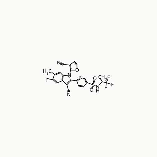 Cc1cc2c(cc1F)c(C#N)c(-c1ccc(S(=O)(=O)N[C@@H](C)C(F)(F)F)cn1)n2-c1occc1C#N